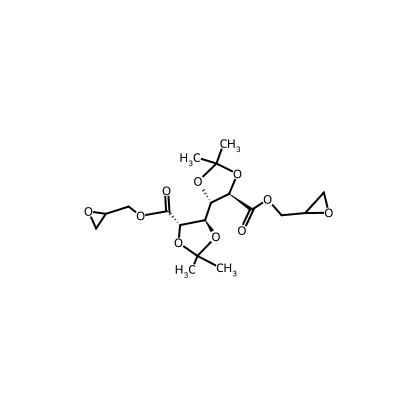 CC1(C)O[C@H]([C@@H]2OC(C)(C)O[C@H]2C(=O)OCC2CO2)[C@@H](C(=O)OCC2CO2)O1